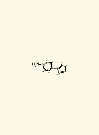 Nc1ccc(C2=NCC=N2)cc1